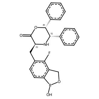 O=C1O[C@H](c2ccccc2)[C@H](c2ccccc2)N[C@H]1Cc1ccc2c(c1F)COB2O